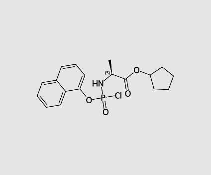 C[C@H](NP(=O)(Cl)Oc1cccc2ccccc12)C(=O)OC1CCCC1